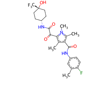 Cc1cc(NC(=O)c2c(C)c(C(=O)C(=O)N[C@H]3CC[C@](O)(C(F)(F)F)CC3)n(C)c2C)ccc1F